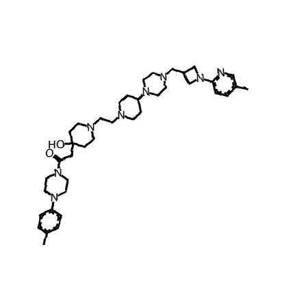 Cc1ccc(N2CCN(C(=O)CC3(O)CCN(CCN4CCC(N5CCN(CC6CN(c7ccc(C)cn7)C6)CC5)CC4)CC3)CC2)cc1